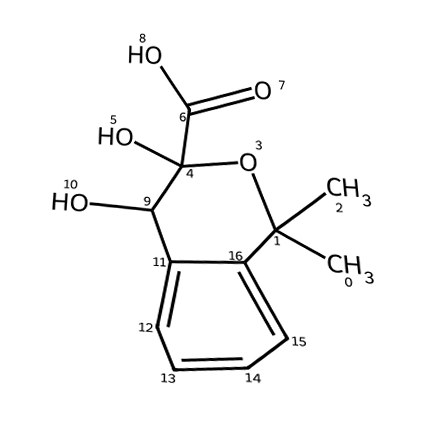 CC1(C)OC(O)(C(=O)O)C(O)c2ccccc21